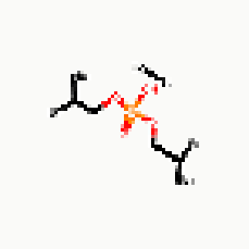 CCCCC(CC)COP(=O)(O)OCC(CC)CCCC.C[CH2][Hg]